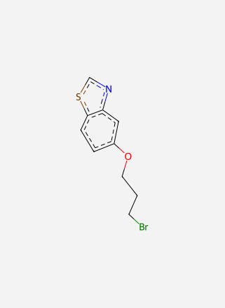 BrCCCOc1ccc2scnc2c1